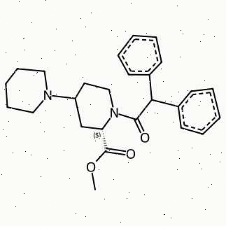 COC(=O)[C@@H]1CC(N2CCCCC2)CCN1C(=O)C(c1ccccc1)c1ccccc1